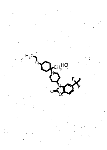 CCOC1CCC(C)(N2CCC(n3c(=O)oc4ccc(C(F)(F)F)cc43)CC2)CC1.Cl